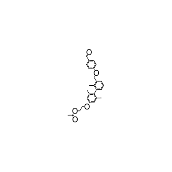 CC(=O)OCCOc1cc(C)c(-c2cccc(COc3ccc(C=O)cc3)c2C)c(C)c1